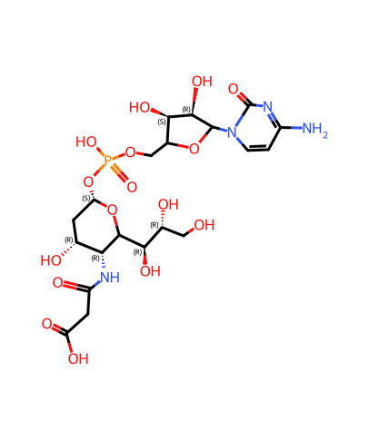 Nc1ccn(C2OC(COP(=O)(O)O[C@H]3C[C@@H](O)[C@@H](NC(=O)CC(=O)O)C([C@H](O)[C@H](O)CO)O3)[C@@H](O)[C@H]2O)c(=O)n1